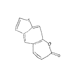 O=c1ccc2cc3ccsc3cc2o1